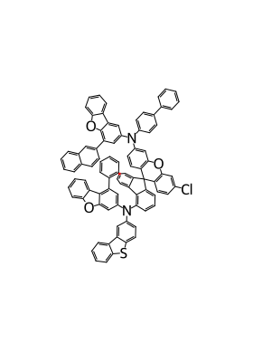 Clc1ccc2c(c1)Oc1cc(N(c3ccc(-c4ccccc4)cc3)c3cc(-c4ccc5ccccc5c4)c4oc5ccccc5c4c3)ccc1C21c2ccccc2-c2c(N(c3cc(-c4ccccc4)c4c(c3)oc3ccccc34)c3ccc4sc5ccccc5c4c3)cccc21